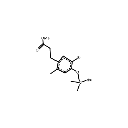 COC(=O)CCc1cc(Br)c(O[Si](C)(C)C(C)(C)C)cc1C